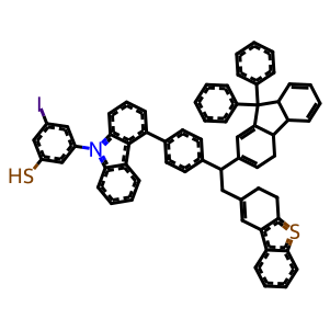 Sc1cc(I)cc(-n2c3ccccc3c3c(-c4ccc(C(CC5=Cc6c(sc7ccccc67)CC5)C5=CCC6C(=C5)C(c5ccccc5)(c5ccccc5)C5C=CC=CC65)cc4)cccc32)c1